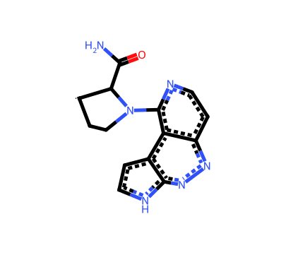 NC(=O)C1[CH]CCN1c1nccc2nnc3[nH]ccc3c12